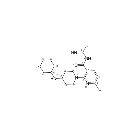 CC(=N)NC(=O)c1ccc(C)nc1N1CCC(NC2CCCCC2)CC1